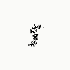 Cc1ncc(C(=O)NN)nc1N1CCC2(CN(C(=O)OC(C)(C)C)C2)C1